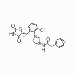 O=C(Cc1ccncc1)N[C@H]1CCN(c2c(Cl)cccc2/C=C2\SC(=O)NC2=O)C1